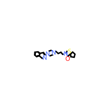 O=C1N(CCCCN2CCN(c3cc4ccccc4cn3)CC2)CSC12CCCC2